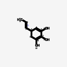 C/C=C/C1C=C(O)C(O)=C(O)C1